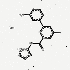 Cc1cc(C(=O)Nc2nnn[nH]2)nc(-c2cccc(N)c2)c1.Cl